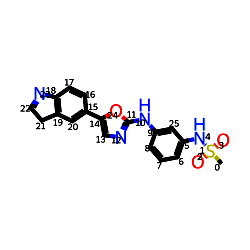 CS(=O)(=O)Nc1cccc(Nc2ncc(-c3ccc4c(c3)CC=N4)o2)c1